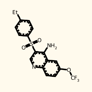 CCc1ccc(S(=O)(=O)c2cnc3ccc(OC(F)(F)F)cc3c2N)cc1